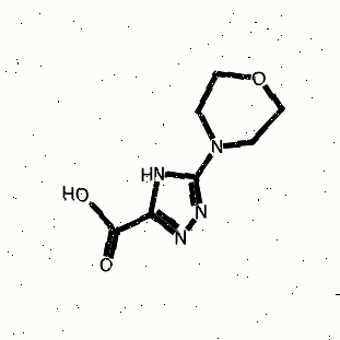 O=C(O)c1nnc(N2CCOCC2)[nH]1